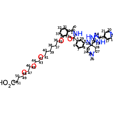 C[C@@H](NC(=O)c1cccc(NC2(c3nnc(-c4ccncc4)[nH]3)CCN(C)CC2)c1)c1cccc(OCCCCCCOCCOCCOCCCC(=O)O)c1